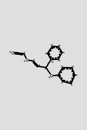 O=COC=CC(Oc1ccccc1)c1ccccc1